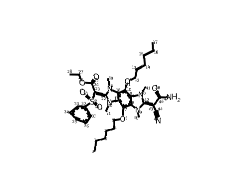 CCCCCCOc1c2c(c(OCCCCCC)c3c1N(C)C(=C(C(=O)OCC)S(=O)(=O)c1ccccc1)N3C)N(C)C(=C(C#N)C(N)=O)N2C